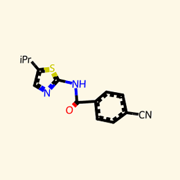 CC(C)c1cnc(NC(=O)c2ccc(C#N)cc2)s1